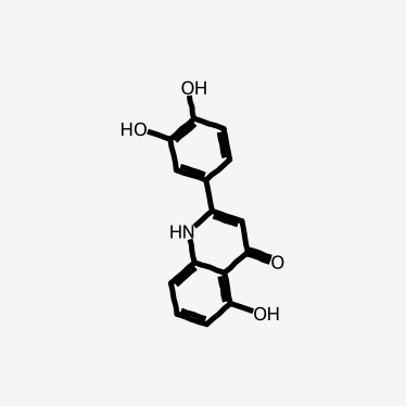 O=c1cc(-c2ccc(O)c(O)c2)[nH]c2cccc(O)c12